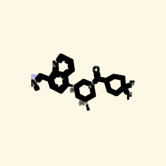 C/N=C\c1ccc([C@H]2C[C@@H](C)CN(C(=O)C3CCC(F)(F)CC3)C2)c2cccnc12